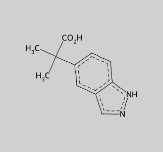 CC(C)(C(=O)O)c1ccc2[nH]ncc2c1